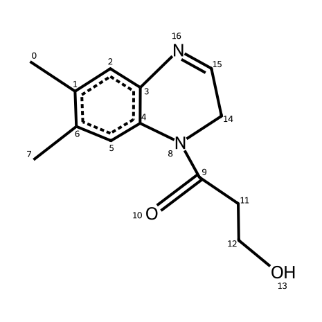 Cc1cc2c(cc1C)N(C(=O)CCO)CC=N2